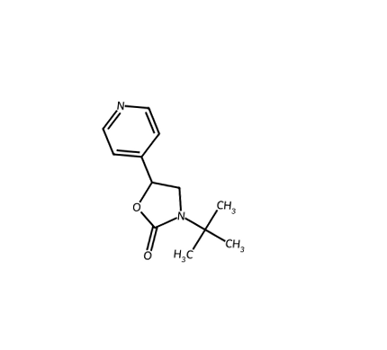 CC(C)(C)N1CC(c2ccncc2)OC1=O